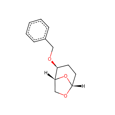 c1ccc(CO[C@H]2CC[C@@H]3OC[C@H]2O3)cc1